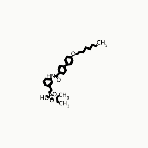 CCCCCCCCOc1ccc(-c2ccc(C(=O)Nc3cccc(CCP(=O)(O)OC(C)CC)c3)cc2)cc1